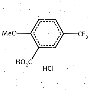 COc1ccc(C(F)(F)F)cc1C(=O)O.Cl